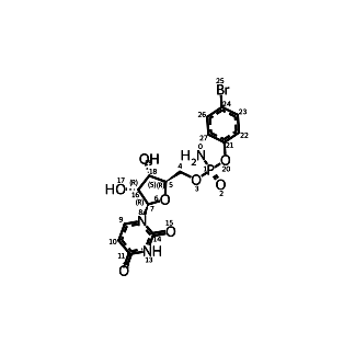 NP(=O)(OC[C@H]1O[C@@H](n2ccc(=O)[nH]c2=O)[C@H](O)[C@@H]1O)Oc1ccc(Br)cc1